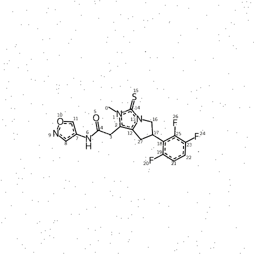 Cn1c(CC(=O)Nc2cnoc2)c2n(c1=S)CC(c1c(F)ccc(F)c1F)C2